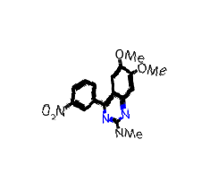 CNc1nc(-c2cccc([N+](=O)[O-])c2)c2cc(OC)c(OC)cc2n1